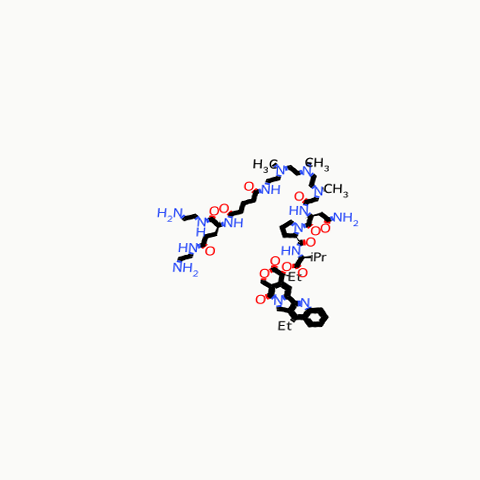 CCc1c2c(nc3ccccc13)-c1cc3c(c(=O)n1C2)COC(=O)[C@@]3(CC)OC(=O)[C@@H](NC(=O)[C@@H]1CCCN1C(=O)[C@H](CC(N)=O)NC(=O)CN(C)CCN(C)CCN(C)CCNC(=O)CCCC(=O)N[C@@H](CCC(=O)NCCN)C(=O)NCCN)C(C)C